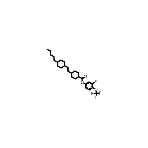 CCCCCC1CCC(C=CC2CCC(C(=O)Oc3ccc(OC(F)(F)F)c(F)c3)CC2)CC1